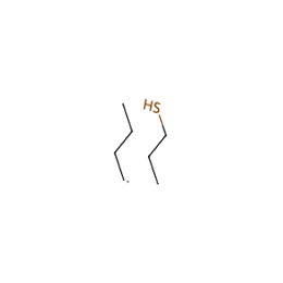 CCCS.[CH2]CCC